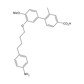 COc1ccc(-c2ccc(C(=O)O)cc2C)cc1OCCCCc1ccc(N)cc1